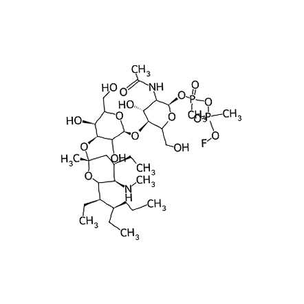 CCC[C@@H](CC)[C@@H](CC)C1O[C@](C)(O[C@@H]2C(O)[C@H](O[C@@H]3C(CO)O[C@H](OP(C)(=O)OP(C)(=O)OF)C(NC(C)=O)[C@H]3O)OC(CO)[C@@H]2O)C[C@@H](CC)[C@H]1NC